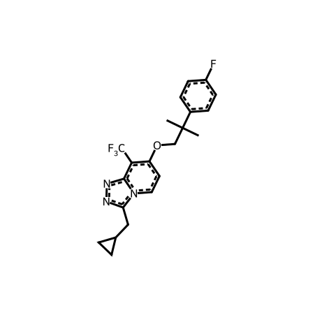 CC(C)(COc1ccn2c(CC3CC3)nnc2c1C(F)(F)F)c1ccc(F)cc1